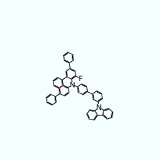 Fc1cc(-c2ccccc2)cc(-c2ccccc2)c1N(c1ccc(-c2ccccc2)cc1)c1ccc(-c2cccc(-n3c4ccccc4c4ccccc43)c2)cc1